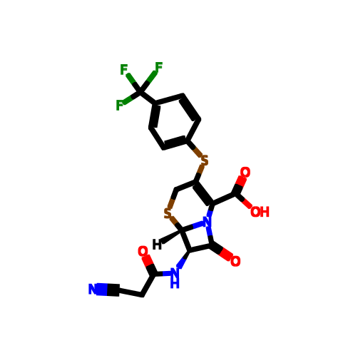 N#CCC(=O)N[C@@H]1C(=O)N2C(C(=O)O)=C(Sc3ccc(C(F)(F)F)cc3)CS[C@@H]12